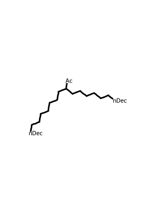 CCCCCCCCCCCCCCCCCC(CCCCCCCCCCCCCCCC)C(C)=O